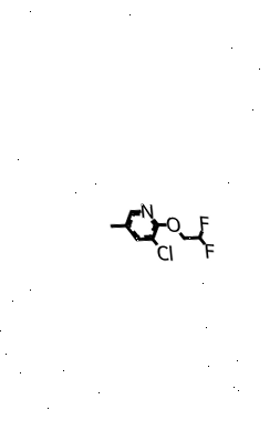 Cc1cnc(OCC(F)F)c(Cl)c1